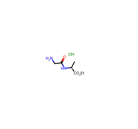 CCOC(=O)[C@H](C)NC(=O)CN.Cl